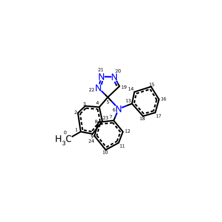 Cc1ccc(C2(N(c3ccccc3)c3ccccc3)C=NN=N2)cc1